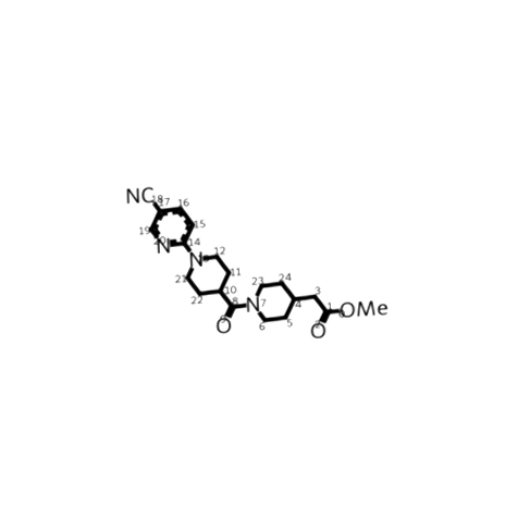 COC(=O)CC1CCN(C(=O)C2CCN(c3ccc(C#N)cn3)CC2)CC1